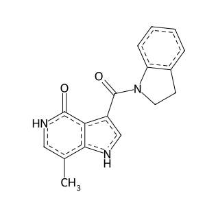 Cc1c[nH]c(=O)c2c(C(=O)N3CCc4ccccc43)c[nH]c12